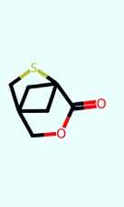 O=C1OCC23CSC1(C2)C3